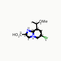 COC(C)c1cc(Br)cn2cc(C(=O)O)nc12